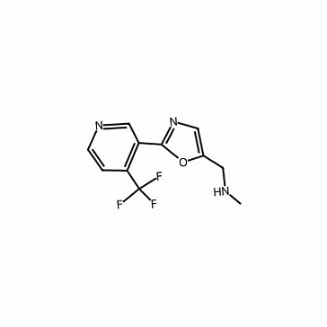 CNCc1cnc(-c2cnccc2C(F)(F)F)o1